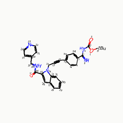 CC(C)(C)OC(=O)NC(=N)c1ccc(C#CCn2c(C(=O)NCc3ccncc3)cc3ccccc32)cc1